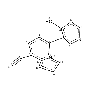 N#Cc1ccc(-c2cnccc2O)n2cccc12